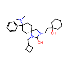 CN(C)[C@]1(c2ccccc2)CC[C@]2(CC1)CN(CCC1(O)CCCCC1)C(O)N2CC1CCC1